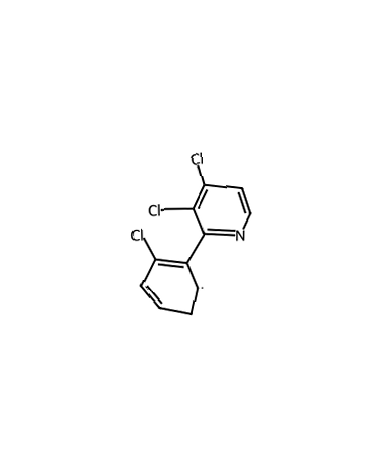 ClC1=C(c2nccc(Cl)c2Cl)[CH]CC=C1